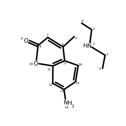 CCNCC.Cc1cc(=O)oc2cc(N)ccc12